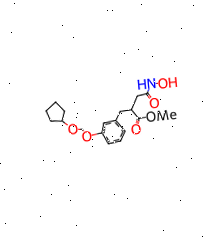 COC(=O)C(CC(=O)NO)Cc1cccc(OCOC2CCCC2)c1